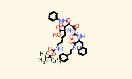 CC(C)(C)OC(=O)NCCCC[C@@](N)(C(=O)O)C(ONc1ccccc1)C(=O)[C@H]1O[C@@H]1C(=O)NC(Cc1ccccc1)C(=O)NCCc1ccccc1